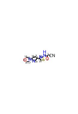 N#CCC(=O)Nc1nc(-c2ccc(N3CCOCC3)nc2)cs1